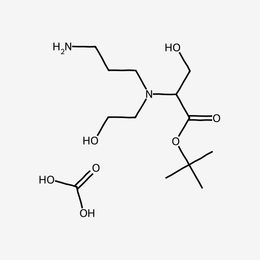 CC(C)(C)OC(=O)C(CO)N(CCO)CCCN.O=C(O)O